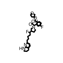 O=C(O)C(c1cc(F)ccc1CO[C@H]1CCOC1)N1CCC(C(F)CCCCc2ccc3c(n2)NCCC3)C1